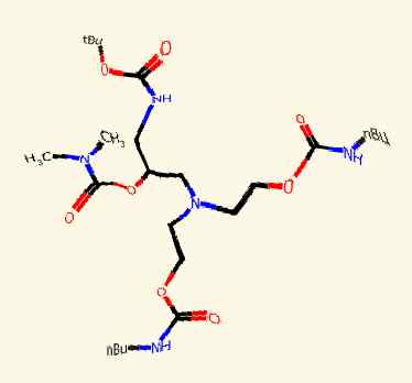 CCCCNC(=O)OCCN(CCOC(=O)NCCCC)CC(CNC(=O)OC(C)(C)C)OC(=O)N(C)C